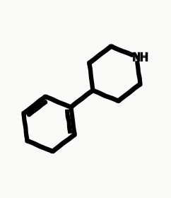 C1=CC(C2CCNCC2)=CCC1